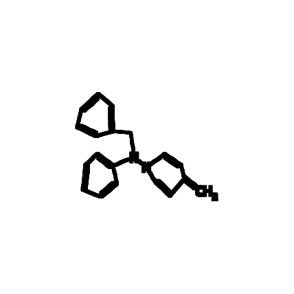 C=C1C=CN(N(Cc2ccccc2)c2ccccc2)C=C1